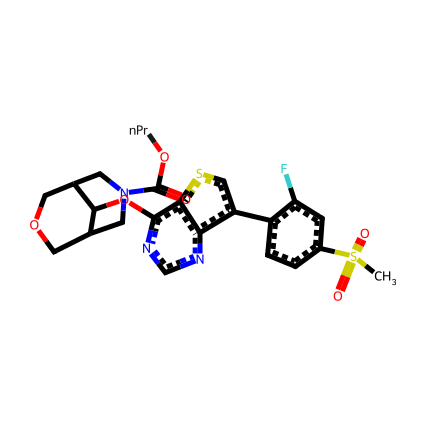 CCCOC(=O)N1CC2COCC(C1)C2Oc1ncnc2c(-c3ccc(S(C)(=O)=O)cc3F)csc12